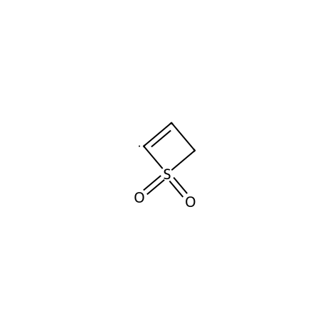 O=S1(=O)[C]=CC1